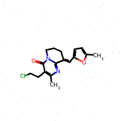 Cc1ccc(C=C2CCCn3c2nc(C)c(CCCl)c3=O)o1